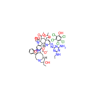 CCNc1nc(N)nc(N)n1.CC[C@]1(O)C[C@H]2C[N@](CCc3c([nH]c4ccccc34)[C@@](C(=O)OC)(c3cc4c(cc3OC)N(C=O)[C@H]3[C@@](O)(C(=O)OC)[C@H](OC(C)=O)[C@]5(CC)C=CCN6CC[C@]43[C@@H]65)C2)C1.Oc1c(Cl)c(Cl)c(Cl)c(Cl)c1Cl